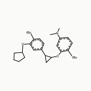 CN(C)c1ccc(C(C)(C)C)c(OC2CC2c2ccc(C(C)(C)C)c(OC3CCCC3)c2)c1